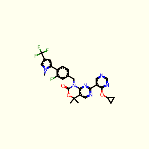 Cn1cc(C(F)(F)F)cc1-c1ccc(CN2C(=O)OC(C)(C)c3cnc(-c4cncnc4OC4CC4)nc32)cc1F